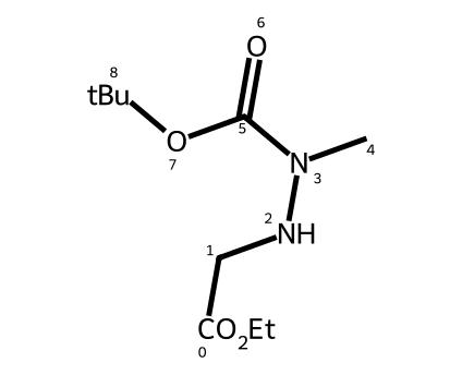 CCOC(=O)CNN(C)C(=O)OC(C)(C)C